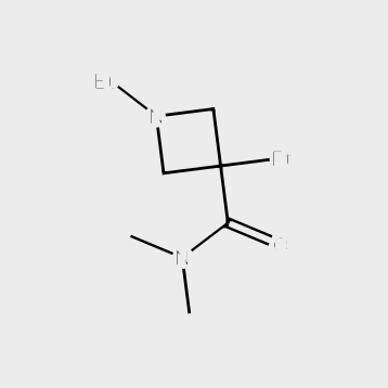 CCN1CC(CC)(C(=O)N(C)C)C1